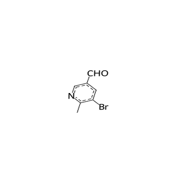 Cc1ncc(C=O)cc1Br